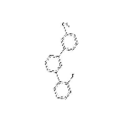 Cc1cccc(-c2cccc(-c3ccccc3F)c2)c1